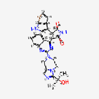 CC(C)(O)c1ncc2n1CCN(c1nc(C3=C(c4c[nH]c5sccc45)C(=O)NC3=O)c3ccccc3n1)C2